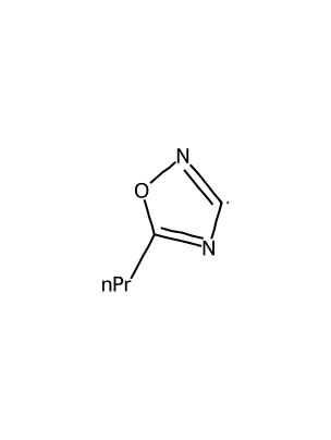 CCCc1n[c]no1